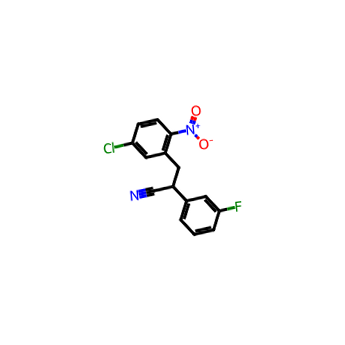 N#CC(Cc1cc(Cl)ccc1[N+](=O)[O-])c1cccc(F)c1